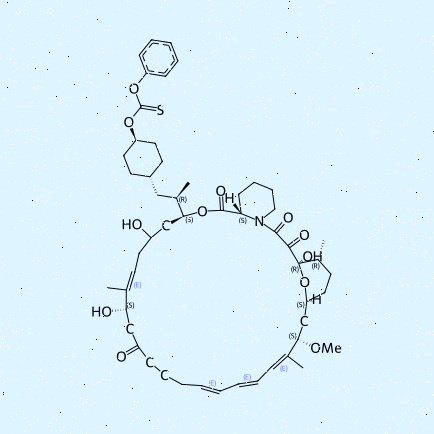 CO[C@H]1C[C@@H]2CC[C@@H](C)[C@@](O)(O2)C(=O)C(=O)N2CCCC[C@H]2C(=O)O[C@H]([C@H](C)C[C@H]2CC[C@H](OC(=S)Oc3ccccc3)CC2)CC(O)C/C=C(\C)[C@@H](O)CC(=O)CCC/C=C/C=C/C=C/1C